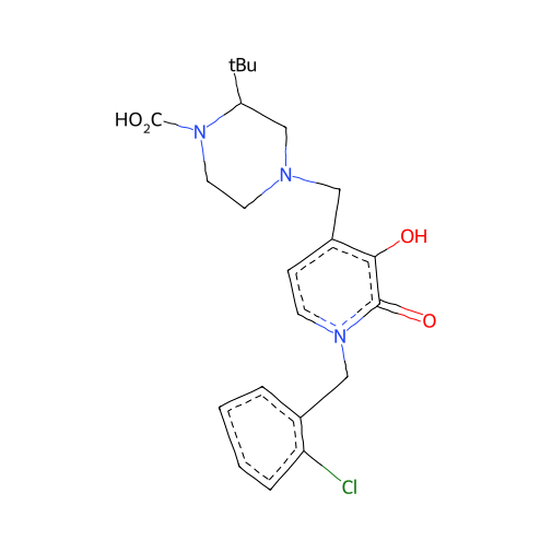 CC(C)(C)C1CN(Cc2ccn(Cc3ccccc3Cl)c(=O)c2O)CCN1C(=O)O